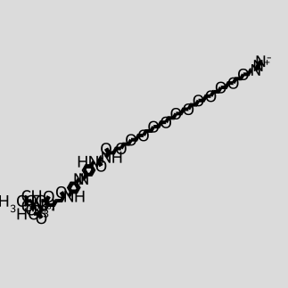 CC(C)(C)OC(=O)N[C@@H](C[C@H](CCCC(=O)Nc1ccc(N=Nc2ccc(NC(=O)CNC(=O)CCOCCOCCOCCOCCOCCOCCOCCOCCOCCOCCOCCOCCN=[N+]=[N-])cc2)cc1)C(=O)O)C(=O)O